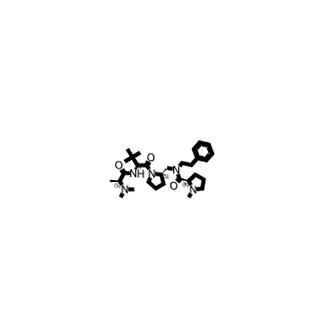 C[C@@H](C(=O)N[C@H](C(=O)N1CCC[C@H]1CN(CCc1ccccc1)C(=O)[C@H]1CCCN1C)C(C)(C)C)N(C)C